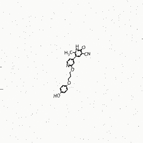 Cc1[nH]c(=O)c(C#N)cc1-c1ccnc(OCCCOc2ccc(O)cc2)c1